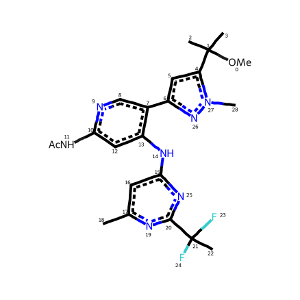 COC(C)(C)c1cc(-c2cnc(NC(C)=O)cc2Nc2cc(C)nc(C(C)(F)F)n2)nn1C